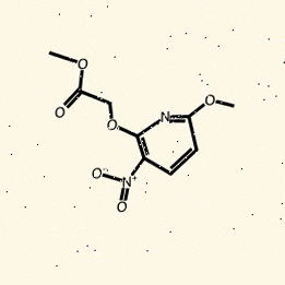 COC(=O)COc1nc(OC)ccc1[N+](=O)[O-]